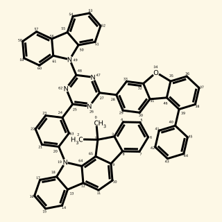 CC1(C)c2ccccc2-c2ccc3c4ccccc4n(-c4cccc(-c5nc(-c6ccc7c(c6)oc6cccc(-c8ccccc8)c67)nc(-n6c7ccccc7c7ccccc76)n5)c4)c3c21